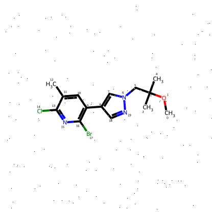 COC(C)(C)Cn1cc(-c2cc(C)c(Cl)nc2Br)cn1